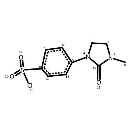 CN1CCN(c2ccc(S(=O)(=O)Cl)cc2)C1=O